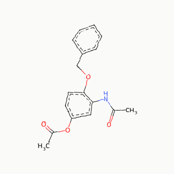 CC(=O)Nc1cc(OC(C)=O)ccc1OCc1ccccc1